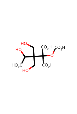 O=C(O)OC(C(=O)O)(C(=O)O)C(CO)(CO)C(O)C(=O)O